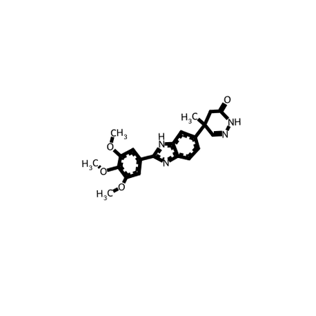 COc1cc(-c2nc3ccc(C4(C)C=NNC(=O)C4)cc3[nH]2)cc(OC)c1OC